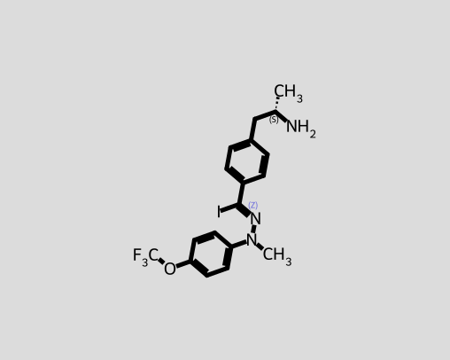 C[C@H](N)Cc1ccc(/C(I)=N/N(C)c2ccc(OC(F)(F)F)cc2)cc1